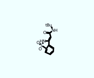 CC(C)(C)NC(=O)C=C1NS(=O)(=O)c2ccccc21